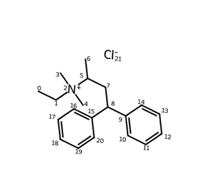 CC[N+](C)(C)C(C)CC(c1ccccc1)c1ccccc1.[Cl-]